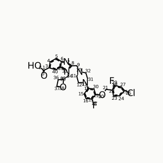 O=C(O)c1ccc2nc(CN3CCN(c4ccc(F)c(OCc5ccc(Cl)cc5F)c4)CC3)n(C[C@@H]3CCO3)c2c1